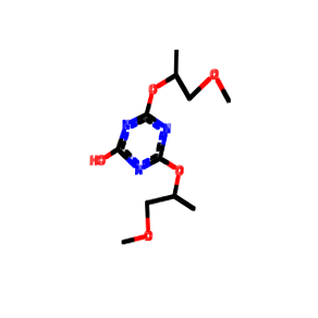 COCC(C)Oc1nc(O)nc(OC(C)COC)n1